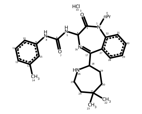 CCCN1C(=O)C(NC(=O)Nc2cccc(C)c2)N=C(C2CCC(C)(C)CCN2)c2ccccc21.Cl